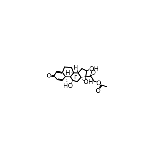 CC(=O)OCC(=O)[C@@]1(O)[C@H](O)C[C@H]2[C@@H]3CCC4=CC(=O)C=C[C@]4(C)[C@@]3(F)[C@@H](O)C[C@@]21C